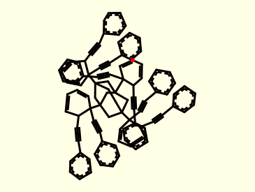 C(#CC1C=CC=CC1(C#Cc1ccccc1)C12CC3(C4(C#Cc5ccccc5)C=CC=CC4C#Cc4ccccc4)CC(C4(C#Cc5ccccc5)C=CC=CC4C#Cc4ccccc4)(C1)CC(C1(C#Cc4ccccc4)C=CC=CC1C#Cc1ccccc1)(C2)C3)c1ccccc1